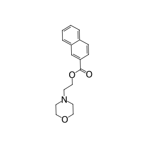 O=C(OCCN1CCOCC1)c1ccc2ccccc2c1